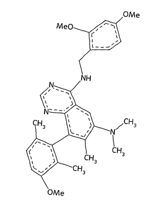 COc1ccc(CNc2ncnc3c(-c4c(C)ccc(OC)c4C)c(C)c(N(C)C)cc23)c(OC)c1